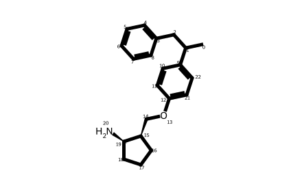 CC(Cc1ccccc1)c1ccc(OC[C@H]2CCC[C@H]2N)cc1